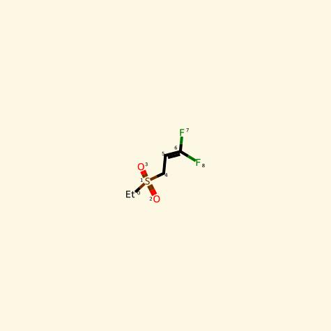 CCS(=O)(=O)CC=C(F)F